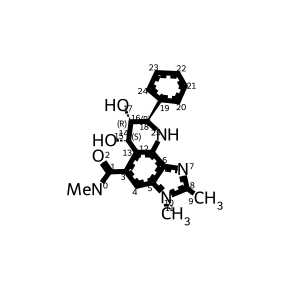 CNC(=O)c1cc2c(nc(C)n2C)c2c1[C@H](O)[C@H](O)[C@@H](c1ccccc1)N2